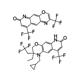 CCC1(CC(F)(F)F)COc2cc3[nH]c(=O)cc(C(F)(F)F)c3cc2N1CC1CC1.O=c1cc(C(F)(F)F)c2cc3nc(C(F)(F)F)coc3cc2n1